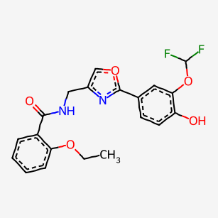 CCOc1ccccc1C(=O)NCc1coc(-c2ccc(O)c(OC(F)F)c2)n1